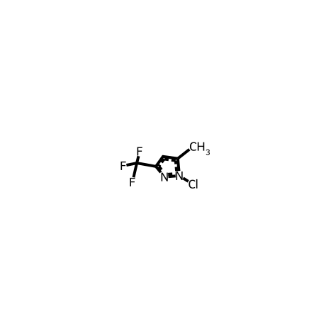 Cc1cc(C(F)(F)F)nn1Cl